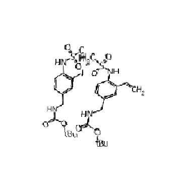 C=Cc1cc(CNC(=O)OC(C)(C)C)ccc1NS(C)(=O)=O.CC(C)(C)OC(=O)NCc1ccc(NS(C)(=O)=O)c(I)c1